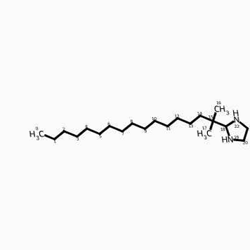 CCCCCCCCCCCCCCCC(C)(C)C1NCCN1